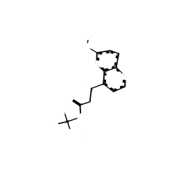 COc1ccc2nccc([C@@H](O)CC(=O)OC(C)(C)C)c2n1